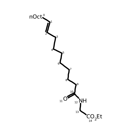 CCCCCCCC/C=C/CCCCCCCC(=O)NCC(=O)OCC